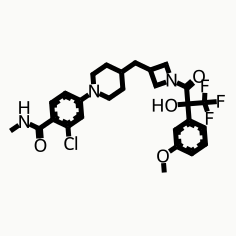 CNC(=O)c1ccc(N2CCC(CC3CN(C(=O)C(O)(c4cccc(OC)c4)C(F)(F)F)C3)CC2)cc1Cl